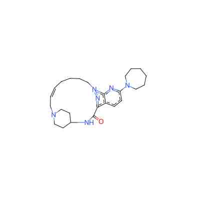 O=C1NC2CCN(C/C=C\CCCCn3nc1c1ccc(N4CCCCCC4)nc13)CC2